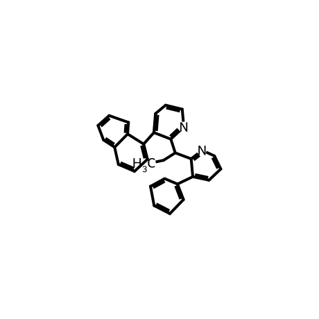 CCC(c1ncccc1-c1ccccc1)c1ncccc1-c1cccc2ccccc12